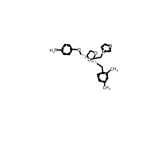 Cc1ccc(CC[C@@]2(Cn3ccnc3)OC[C@@H](COc3ccc(N)cc3)O2)c(C)c1